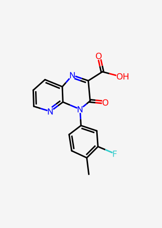 Cc1ccc(-n2c(=O)c(C(=O)O)nc3cccnc32)cc1F